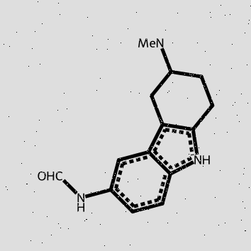 CNC1CCc2[nH]c3ccc(NC=O)cc3c2C1